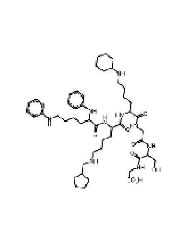 O=C(O)CNC(=O)C(CO)NC(=O)CNC(=O)C(CCCCNC1CCCCC1)NC(=O)C(CCCCNCC1CCCC1)NC(=O)C(CCCCNc1ccccc1)Nc1ccccc1